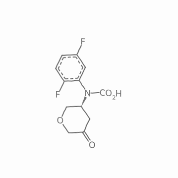 O=C1COC[C@@H](N(C(=O)O)c2cc(F)ccc2F)C1